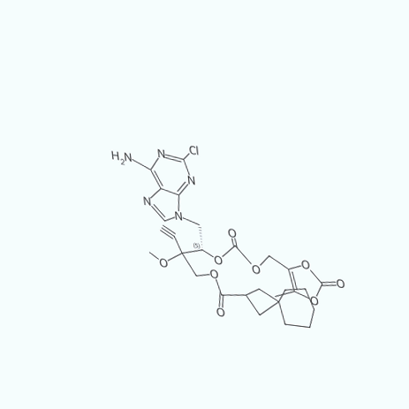 C#CC(COC(=O)C1CC2(CCCCC2)C1)(OC)[C@H](Cn1cnc2c(N)nc(Cl)nc21)OC(=O)OCc1oc(=O)oc1C